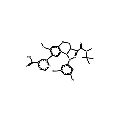 COc1cc2c(cc1-c1cc(C(=O)O)ncn1)C1C(CO2)C(C(=O)N(C)C(C)(C)C)=NN1c1cc(Cl)cc(Cl)c1